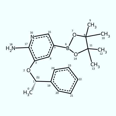 C[C@H](Oc1cc(B2OC(C)(C)C(C)(C)O2)cnc1N)c1ccccc1